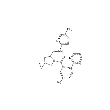 N#Cc1ccc(-c2ncccn2)c(C(=O)N2CC3(CC3)CC2CNc2ccc(C(F)(F)F)cn2)c1